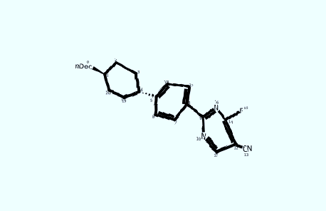 CCCCCCCCCC[C@H]1CC[C@H](c2ccc(-c3ncc(C#N)c(F)n3)cc2)CC1